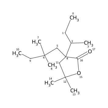 CCC(C)C1(CC(C)(C)CC)CC(C)(C)OC1=O